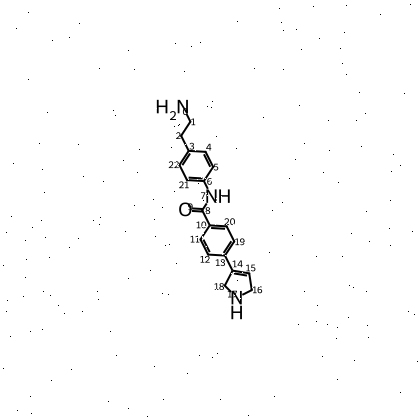 NCCc1ccc(NC(=O)c2ccc(C3=CCNC3)cc2)cc1